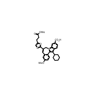 COC(=O)CCc1cnc(C2=Cc3cc(OC)ccc3-c3c(C4CCCCC4)c4ccc(C(=O)O)cc4n3C2)o1